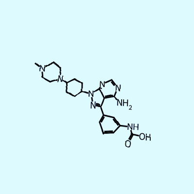 CN1CCN(C2CCC(n3nc(-c4cccc(NC(=O)O)c4)c4c(N)ncnc43)CC2)CC1